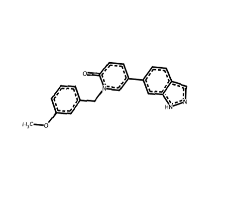 COc1cccc(Cn2cc(-c3ccc4cn[nH]c4c3)ccc2=O)c1